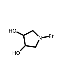 CCN1CC(O)C(O)C1